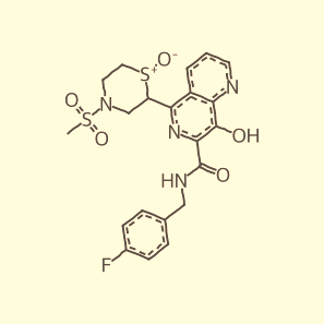 CS(=O)(=O)N1CC[S+]([O-])C(c2nc(C(=O)NCc3ccc(F)cc3)c(O)c3ncccc23)C1